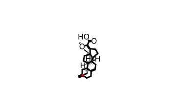 C#CC[C@]12CCCCC1=CC[C@@H]1[C@@H]2CC[C@]2(C)C(=C(OC)C(=O)O)CC[C@@H]12